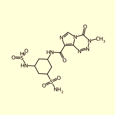 Cn1nnc2c(C(=O)NC3CC(N[SH](=O)=O)CC(S(N)(=O)=O)C3)ncn2c1=O